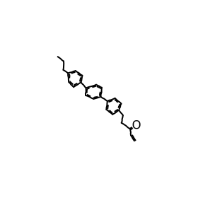 C=CC(=O)CCc1ccc(-c2ccc(-c3ccc(CCC)cc3)cc2)cc1